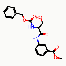 COC(=O)c1cccc(NC(=O)C(CO)NC(=O)OCc2ccccc2)c1